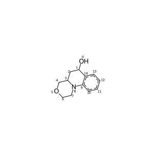 OC1CC2COCCN2c2ccccc21